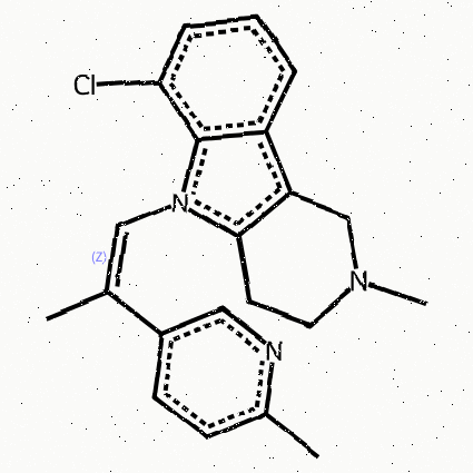 C/C(=C/n1c2c(c3cccc(Cl)c31)CN(C)CC2)c1ccc(C)nc1